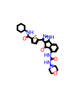 O=C(Nc1cccc2c1C(=O)c1c(-c3ccc(C(=O)NC4CCCCC4)s3)n[nH]c1-2)NN1CCOCC1